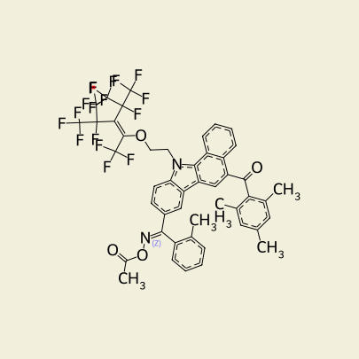 CC(=O)O/N=C(/c1ccc2c(c1)c1cc(C(=O)c3c(C)cc(C)cc3C)c3ccccc3c1n2CCOC(=C(C(F)(C(F)(F)F)C(F)(F)F)C(F)(C(F)(F)F)C(F)(F)F)C(F)(F)F)c1ccccc1C